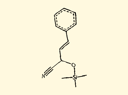 C[Si](C)(C)OC(C#N)C=Cc1ccccc1